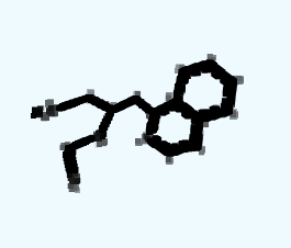 CCC(Cc1nccc2ccccc12)OC=O